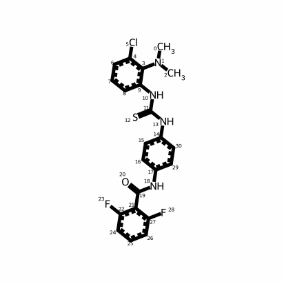 CN(C)c1c(Cl)cccc1NC(=S)Nc1ccc(NC(=O)c2c(F)cccc2F)cc1